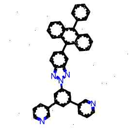 c1ccc(-c2c3ccccc3c(-c3ccc4nn(-c5cc(-c6cccnc6)cc(-c6cccnc6)c5)nc4c3)c3ccccc23)cc1